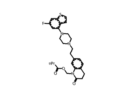 CCCC(=O)OCN1C(=O)CCc2ccc(CCN3CCN(c4cc(F)cc5sccc45)CC3)cc21